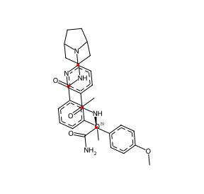 COc1ccc([C@H](NC(=O)c2ccc(N3C4CCC3CC(NC(=O)c3cccc(OC)c3C)C4)nc2)C(N)=O)cc1